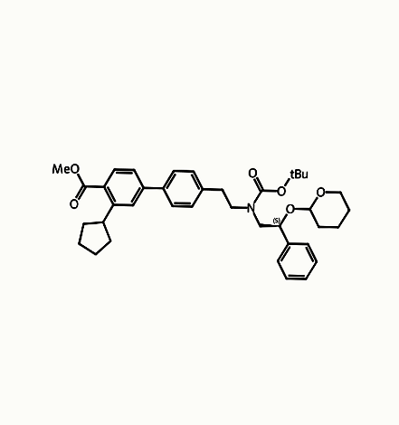 COC(=O)c1ccc(-c2ccc(CCN(C[C@@H](OC3CCCCO3)c3ccccc3)C(=O)OC(C)(C)C)cc2)cc1C1CCCC1